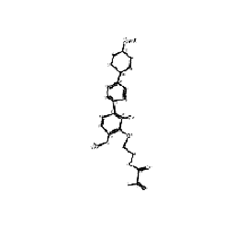 C=C(C)C(=O)OCCOc1c(CO)ccc(-c2ccc(C3CCC(CCCCC)CC3)cc2)c1F